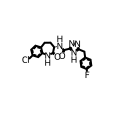 O=C(N[C@H]1CCc2ccc(Cl)cc2NC1=O)c1nnc(Cc2ccc(F)cc2)[nH]1